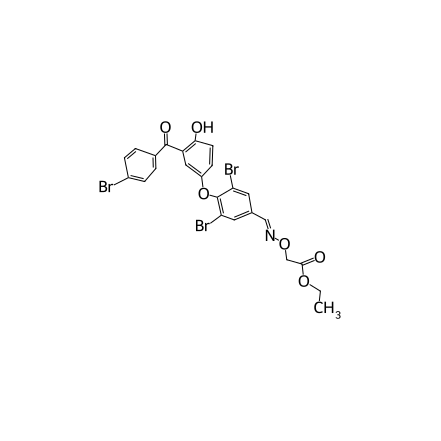 CCOC(=O)CON=Cc1cc(Br)c(Oc2ccc(O)c(C(=O)c3ccc(Br)cc3)c2)c(Br)c1